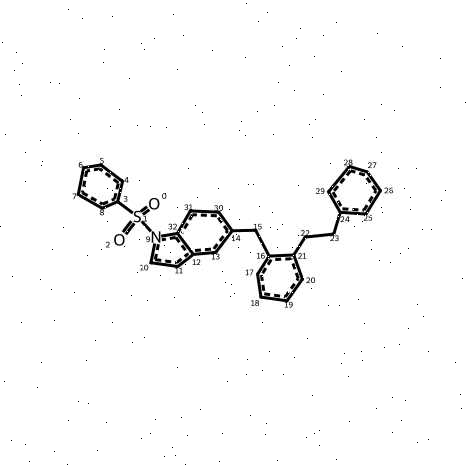 O=S(=O)(c1ccccc1)n1ccc2cc(Cc3ccccc3CCc3ccccc3)ccc21